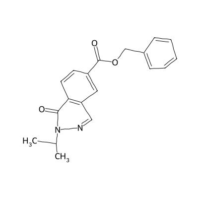 CC(C)n1ncc2cc(C(=O)OCc3ccccc3)ccc2c1=O